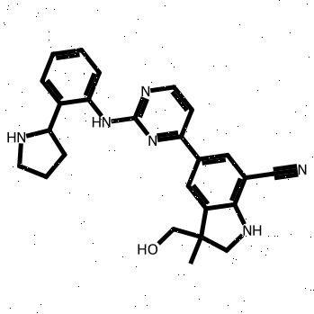 CC1(CO)CNc2c(C#N)cc(-c3ccnc(Nc4ccccc4C4CCCN4)n3)cc21